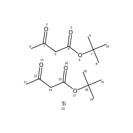 CC(=O)CC(=O)OC(C)(C)C.CC(=O)CC(=O)OC(C)(C)C.[Ti]